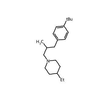 CCC1CCN(CC(C)Cc2ccc(C(C)(C)C)cc2)CC1